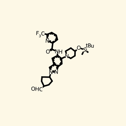 CC(C)(C)[Si](C)(C)OC1CCN(c2cc3nn(C4CCC(C=O)CC4)cc3cc2NC(=O)c2cccc(C(F)(F)F)n2)CC1